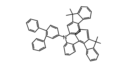 CC1(C)c2ccccc2-c2ccc(N(c3ccc(-c4ccccc4)c(-c4ccccc4)c3)c3ccccc3-c3cccc4c3-c3ccccc3C4(C)C)cc21